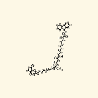 CC(C)(CCOC(=O)NCCOCCOCCNC(=O)OCC1C2=C(CCC=C2)c2ccccc21)SSCOCCCCOC(=O)ON1C(=O)CCC1=O